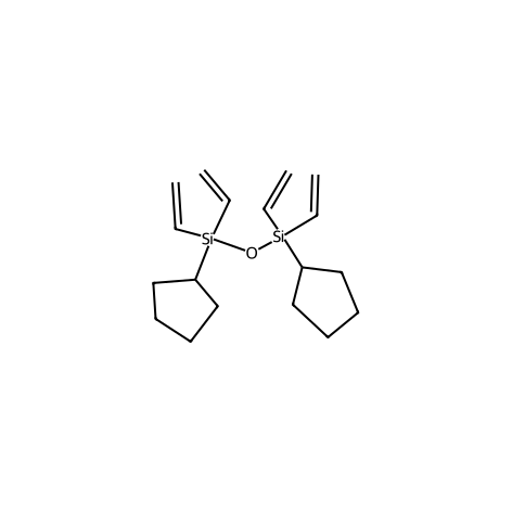 C=C[Si](C=C)(O[Si](C=C)(C=C)C1CCCC1)C1CCCC1